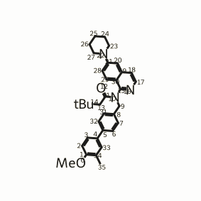 COc1ccc(-c2ccc(CN(C(=O)CC(C)(C)C)c3nccc4cc(N5CCCCC5)ccc34)cc2)cc1C